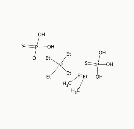 CCC.CCC.CC[N+](CC)(CC)CC.OP(O)(O)=S.[O-]P(O)(O)=S